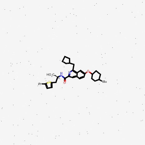 CC(C)c1ccc(C[C@H](NC(=O)c2cc3ccc(OC4CCC(C(C)(C)C)CC4)cc3c(CC3CCCC3)n2)C(=O)O)s1